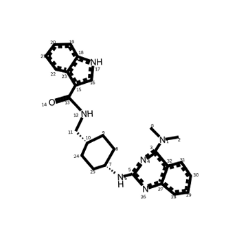 CN(C)c1nc(N[C@H]2CC[C@@H](CNC(=O)c3c[nH]c4ccccc34)CC2)nc2ccccc12